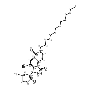 CCCCCCCCCCCCCCn1ccc2c3c(c(Br)cc2c1=O)C(c1cc(F)ccc1Cl)NC3=O